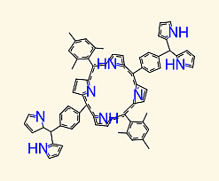 Cc1cc(C)c(-c2c3nc(c(-c4ccc(C(c5ccc[nH]5)C5C=CC=N5)cc4)c4ccc([nH]4)c(-c4c(C)cc(C)cc4C)c4nc(c(-c5ccc(C(c6ccc[nH]6)c6ccc[nH]6)cc5)c5ccc2[nH]5)C=C4)C=C3)c(C)c1